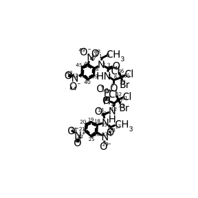 CCN(C(=O)NC(O[PH](=O)OC(NC(=O)N(CC)c1ccc([N+](=O)[O-])cc1[N+](=O)[O-])C(Cl)(Cl)Br)C(Cl)(Cl)Br)c1ccc([N+](=O)[O-])cc1[N+](=O)[O-]